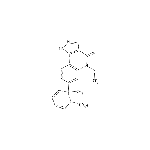 CC1(c2ccc3c4[nH]ncc4c(=O)n(CC(F)(F)F)c3c2)C=CC=CC1C(=O)O